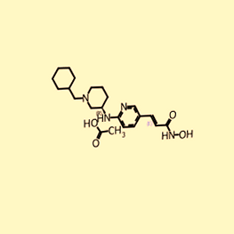 CC(=O)O.O=C(/C=C/c1ccc(N[C@@H]2CCCN(CC3CCCCC3)C2)nc1)NO